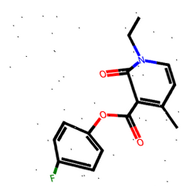 CCn1ccc(C)c(C(=O)Oc2ccc(F)cc2)c1=O